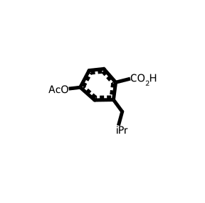 CC(=O)Oc1ccc(C(=O)O)c(CC(C)C)c1